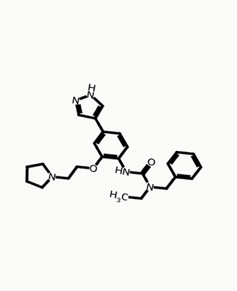 CCN(Cc1ccccc1)C(=O)Nc1ccc(-c2cn[nH]c2)cc1OCCN1CCCC1